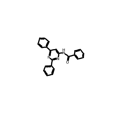 O=C(Nc1cc(-c2ccccc2)nc(-c2ccccc2)n1)c1ccccc1